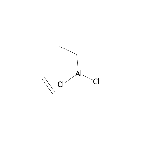 C=C.C[CH2][Al]([Cl])[Cl]